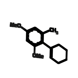 COc1cc(C)c(C2=CCCCC2)c(OC)c1